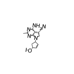 Cc1nc(N)c2c(C#N)cn(C3C=CC(OI)C3)c2n1